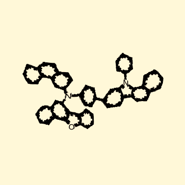 c1ccc(-n2c3cc(-c4ccc(N(c5ccc6ccc7ccccc7c6c5)c5cc6ccccc6c6oc7ccccc7c56)cc4)ccc3c3ccc4ccccc4c32)cc1